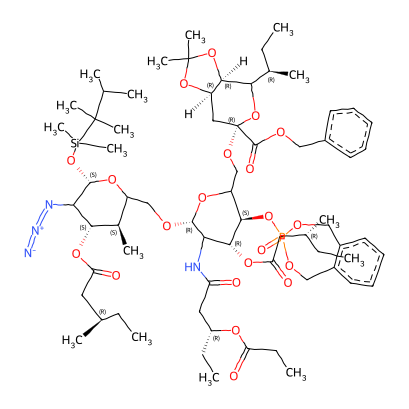 CCC(=O)O[C@H](CC)CC(=O)NC1[C@H](OCC2O[C@@H](O[Si](C)(C)C(C)(C)C(C)C)C(N=[N+]=[N-])[C@@H](OC(=O)C[C@H](C)CC)[C@@H]2C)OC(CO[C@]2(C(=O)OCc3ccccc3)C[C@H]3OC(C)(C)O[C@H]3C([C@H](C)CC)O2)[C@@H](OP2(=O)OCc3ccccc3CO2)[C@@H]1OC(=O)C[C@H](C)CC